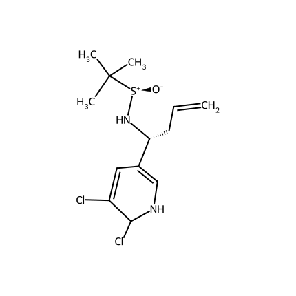 C=CC[C@@H](N[S@+]([O-])C(C)(C)C)C1=CNC(Cl)C(Cl)=C1